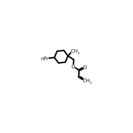 C=CC(=O)OCC1(C)CCC(CCC)CC1